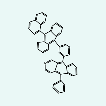 c1ccc(-c2c3ccccc3c(-c3cccc(-c4c5ccccc5c(-c5cccc6ccccc56)c5ccccc45)c3)c3cnccc23)cc1